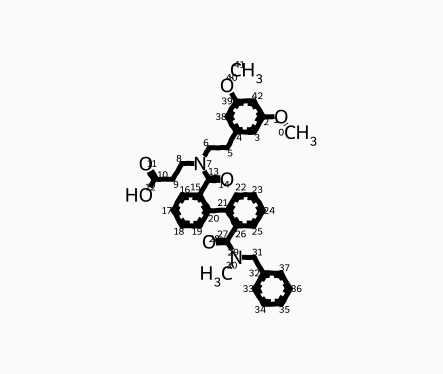 COc1cc(CCN(CCC(=O)O)C(=O)c2ccccc2-c2ccccc2C(=O)N(C)Cc2ccccc2)cc(OC)c1